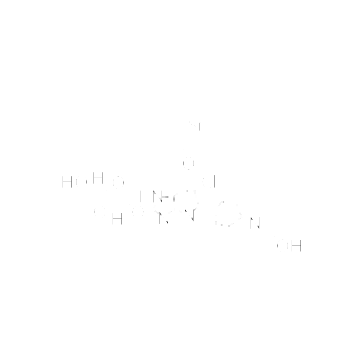 C[Si](C)(C)CCOCc1c(Cl)c(-c2ccc(N3CC[C@H](O)C3)cc2)nc2nc(O[C@@H]3CO[C@H]4[C@@H]3OC[C@H]4O)[nH]c12